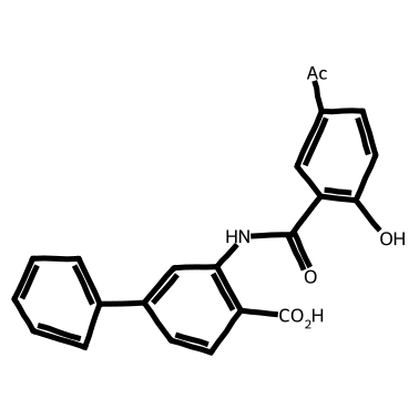 CC(=O)c1ccc(O)c(C(=O)Nc2cc(-c3ccccc3)ccc2C(=O)O)c1